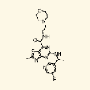 Cc1nc2nc(NC(C)c3cncc(F)c3)nc(C(=O)NCCN3CCOCC3)c2s1